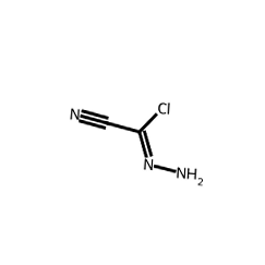 N#CC(Cl)=NN